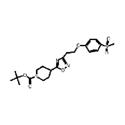 CC(C)(C)OC(=O)N1CCC(c2nc(CCOc3ccc(S(C)(=O)=O)cc3)no2)CC1